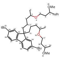 CCCC(CCOC(C)CCCC1(CCCC(C)OCCC(C)OC)c2cc(C(C)(C)C)ccc2-c2ccc(C(C)(C)C)cc21)OC